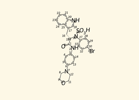 O=C(Nc1ccc(N2CCOCC2)cc1)[C@H](Cc1c[nH]c2ccccc12)N(c1ccc(Br)cc1)S(=O)(=O)O